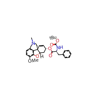 COc1ccc2c3c1O[C@H]1C[C@@H](OC(=O)[C@H](Cc4ccccc4)NC(=O)OC(C)(C)C)C=C[C@@]31CCN(C)C2